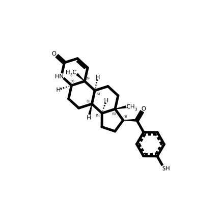 C[C@]12C=CC(=O)N[C@@H]1CC[C@@H]1[C@@H]2CC[C@]2(C)[C@@H](C(=O)c3ccc(S)cc3)CC[C@@H]12